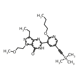 CCCCOc1ncc(C#C[Si](C)(C)C)cc1-c1nc2c(CC)nn(CCOC)c2c(=O)[nH]1